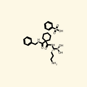 NCCC[C@H](NC(=O)C1(C(=O)NCc2ccccc2)CCCCC1)B(O)O.O=S(=O)(O)c1ccccc1